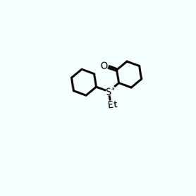 CC[S+](C1CCCCC1)C1CCCCC1=O